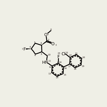 COC(=O)[C@@H]1C[C@H](F)CC1CNc1cccc(-c2ccccc2Cl)c1F